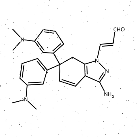 CN(C)c1cccc(C2(c3cccc(N(C)C)c3)C=Cc3c(N)nn(C=CC=O)c3C2)c1